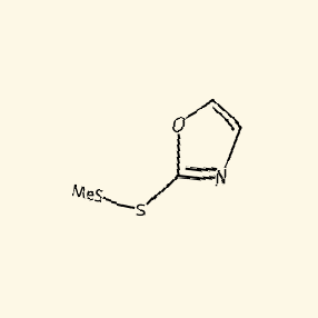 CSSc1ncco1